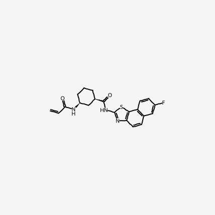 C=CC(=O)N[C@H]1CCC[C@@H](C(=O)Nc2nc3ccc4cc(F)ccc4c3s2)C1